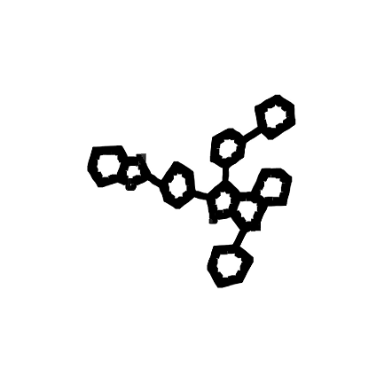 c1ccc(-c2cccc(-c3c(-c4ccc(-c5nc6ccccc6o5)cc4)sc4c(-c5ccccc5)nc5ccccc5c34)c2)cc1